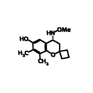 CON[C@@H]1CC2(CCC2)Oc2c1cc(O)c(C)c2C